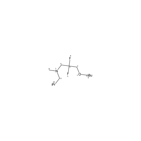 CCCCOCC(F)(F)CN(C)CC(C)C